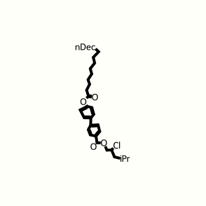 CCCCCCCCCCCCCCCCCCC(=O)Oc1ccc(-c2ccc(C(=O)OCC(Cl)CC(C)C)cc2)cc1